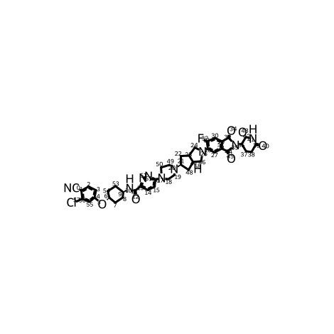 N#Cc1ccc(O[C@H]2CC[C@H](NC(=O)c3ccc(N4CCN([C@H]5CC6CN(c7cc8c(cc7F)C(=O)N(C7CCC(=O)NC7=O)C8=O)C[C@H]6C5)CC4)nn3)CC2)cc1Cl